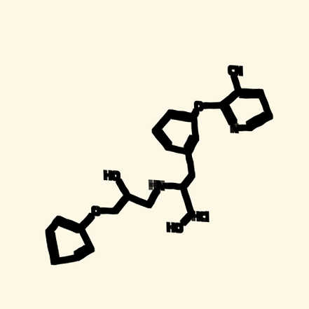 Cl.N#Cc1cccnc1Oc1cccc(CC(CO)NCC(O)COc2ccccc2)c1